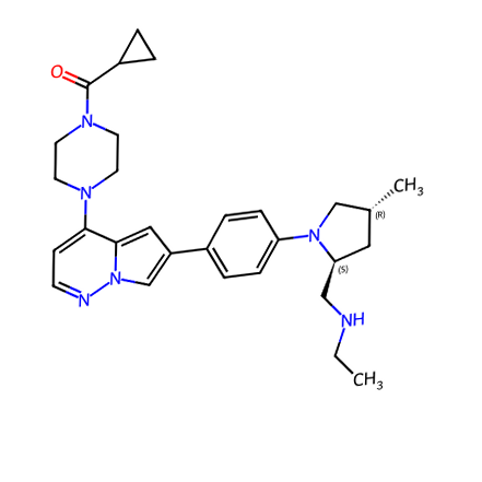 CCNC[C@@H]1C[C@@H](C)CN1c1ccc(-c2cc3c(N4CCN(C(=O)C5CC5)CC4)ccnn3c2)cc1